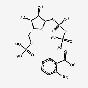 Nc1ccccc1C(=O)O.O=P(O)(O)OC[C@H]1OC(OP(=O)(O)OP(=O)(O)O)[C@H](O)[C@@H]1O